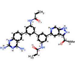 C=CC(=O)Nc1cc(-c2cc(NC(=O)C=C)cc(-c3cc4c(C(=O)NC)n[nH]c4cn3)c2)cc(-c2ccc3nc(N)nc(N)c3c2)c1